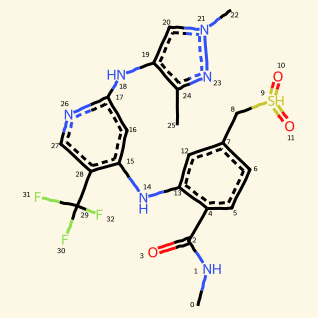 CNC(=O)c1ccc(C[SH](=O)=O)cc1Nc1cc(Nc2cn(C)nc2C)ncc1C(F)(F)F